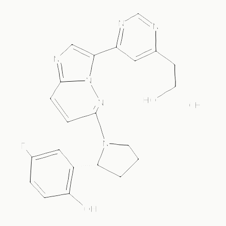 C[C@H](O)Cc1cc(-c2cnc3ccc(N4CCC[C@@H]4c4cc(F)ccc4O)nn23)ncn1